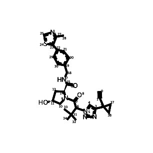 C#CC1(c2cn(C(C(=O)N3C[C@H](O)C[C@H]3C(=O)NCc3ccc(-c4scnc4C)cc3)C(C)(C)C)nn2)CC1